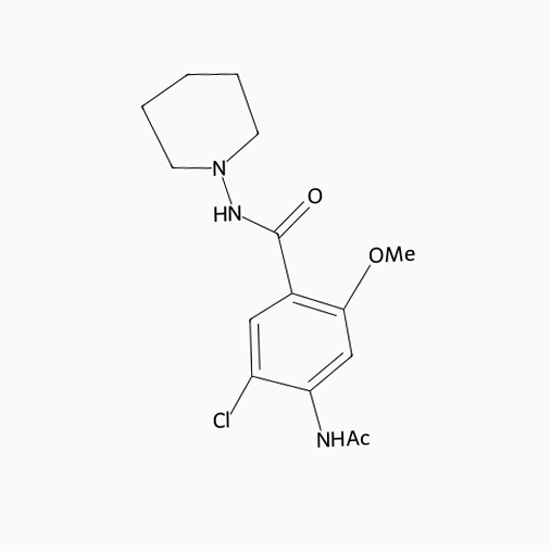 COc1cc(NC(C)=O)c(Cl)cc1C(=O)NN1CCCCC1